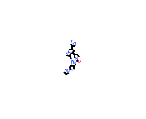 Cn1cc(-c2cc(C3CCN(C(=O)NCc4ccc(-n5cc(F)cn5)nc4)C3)c3c(C#N)cnn3c2)cn1